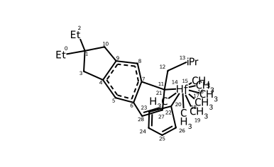 CCC1(CC)Cc2cc3c(cc2C1)[C](CC(C)C)([Hf]([CH3])([CH3])([CH3])([CH3])([CH3])([CH3])([CH3])[CH]1C=CC=C1)C=C3